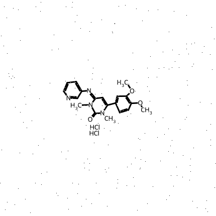 COc1ccc(-c2c/c(=N/c3cccnc3)n(C)c(=O)n2C)cc1OC.Cl.Cl